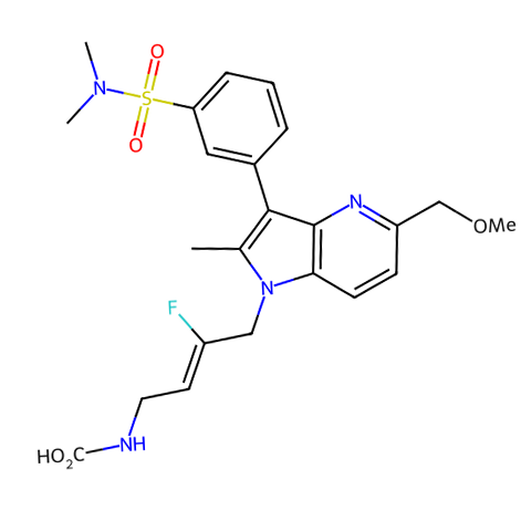 COCc1ccc2c(n1)c(-c1cccc(S(=O)(=O)N(C)C)c1)c(C)n2CC(F)=CCNC(=O)O